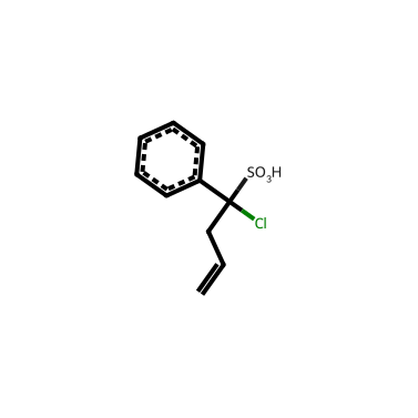 C=CCC(Cl)(c1ccccc1)S(=O)(=O)O